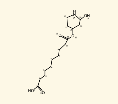 O=C(O)CCCCCCCCC(=O)OC1CCNC(O)C1